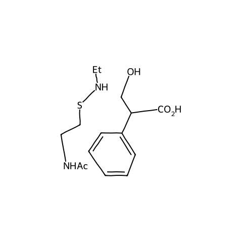 CCNSCCNC(C)=O.O=C(O)C(CO)c1ccccc1